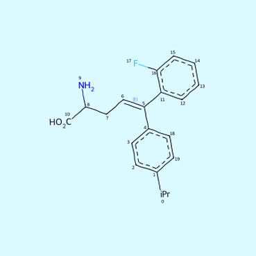 CC(C)c1ccc(/C(=C\CC(N)C(=O)O)c2ccccc2F)cc1